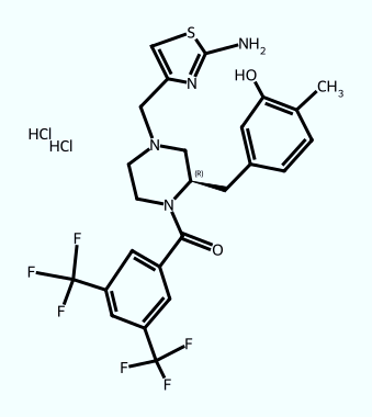 Cc1ccc(C[C@@H]2CN(Cc3csc(N)n3)CCN2C(=O)c2cc(C(F)(F)F)cc(C(F)(F)F)c2)cc1O.Cl.Cl